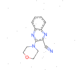 N#Cc1nc2ccccc2nc1N1CCOCC1